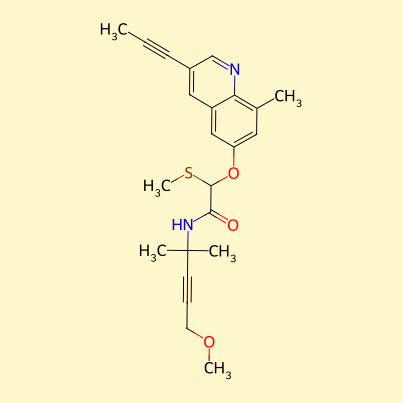 CC#Cc1cnc2c(C)cc(OC(SC)C(=O)NC(C)(C)C#CCOC)cc2c1